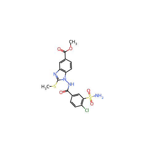 COC(=O)c1ccc2c(c1)nc(SC)n2NC(=O)c1ccc(Cl)c(S(N)(=O)=O)c1